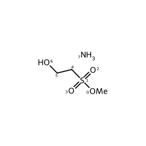 COS(=O)(=O)CCO.N